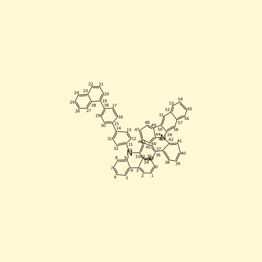 c1ccc(-c2ccccc2N(c2ccc(-c3ccc(-c4cccc5ccccc45)cc3)cc2)c2ccc(-c3ccccc3-n3c4ccccc4c4cc5ccccc5cc43)cc2)cc1